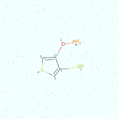 POc1cscc1S